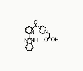 O=C(O)CN1CCN(C(=O)c2cccc(-c3nc4ccccc4[nH]3)n2)CC1